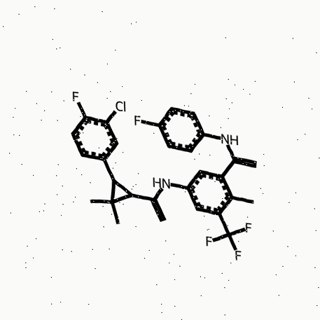 C=C(Nc1ccc(F)cc1)c1cc(NC(=C)C2C(c3ccc(F)c(Cl)c3)C2(C)C)cc(C(F)(F)F)c1C